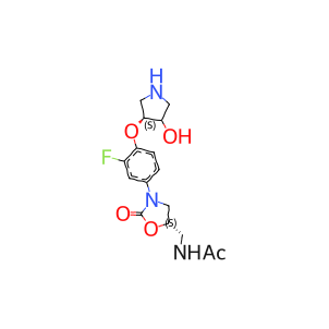 CC(=O)NC[C@H]1CN(c2ccc(O[C@H]3CNCC3O)c(F)c2)C(=O)O1